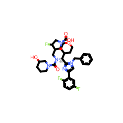 O=C(O)N1CC(F)C(CN(C(=O)N2CCCC(O)C2)[C@@H](c2nc(-c3cc(F)ccc3F)cn2Cc2ccccc2)C2CCOCC2)C1